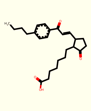 CCCCc1ccc(C(=O)C=CC2CCC(=O)C2CCCCCCC(=O)O)cc1